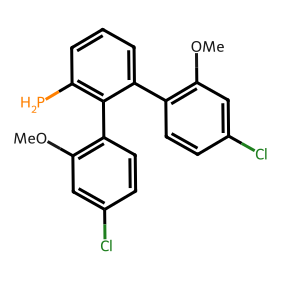 COc1cc(Cl)ccc1-c1cccc(P)c1-c1ccc(Cl)cc1OC